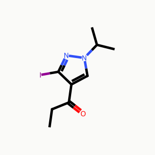 CCC(=O)c1cn(C(C)C)nc1I